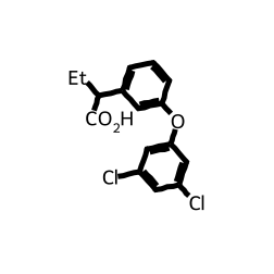 CCC(C(=O)O)c1cccc(Oc2cc(Cl)cc(Cl)c2)c1